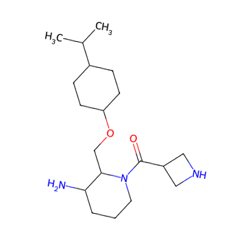 CC(C)C1CCC(OCC2C(N)CCCN2C(=O)C2CNC2)CC1